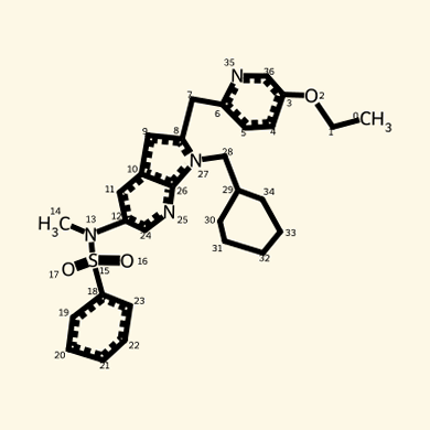 CCOc1ccc(Cc2cc3cc(N(C)S(=O)(=O)c4ccccc4)cnc3n2CC2CCCCC2)nc1